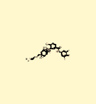 C=CCOC[C@]1(O)CC2C(S(=O)(=O)c3cc(C(=O)Nc4cc(F)c(F)c(F)c4)ccc3Cl)[C@@H](C[C@@H]2C)C1